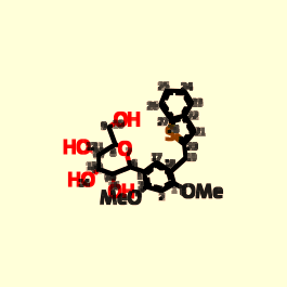 COc1cc(OC)c(C2OC(CO)[C@@H](O)[C@H](O)[C@H]2O)cc1Cc1cc2ccccc2s1